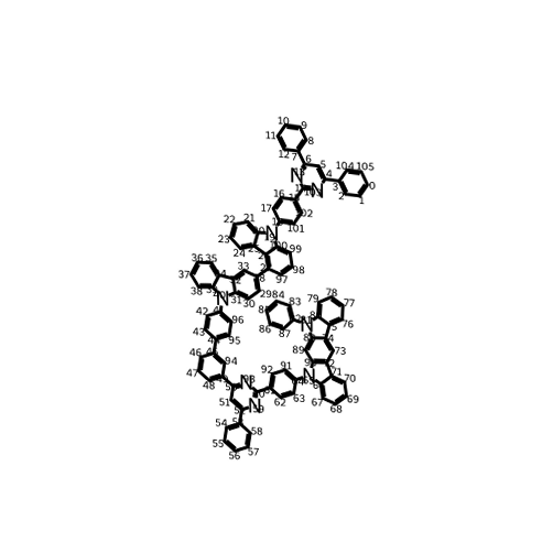 c1ccc(-c2cc(-c3ccccc3)nc(-c3ccc(-n4c5ccccc5c5c(-c6ccc7c(c6)c6ccccc6n7-c6ccc(-c7cccc(-c8cc(-c9ccccc9)nc(-c9ccc(-n%10c%11ccccc%11c%11cc%12c%13ccccc%13n(-c%13ccccc%13)c%12cc%11%10)cc9)n8)c7)cc6)cccc54)cc3)n2)cc1